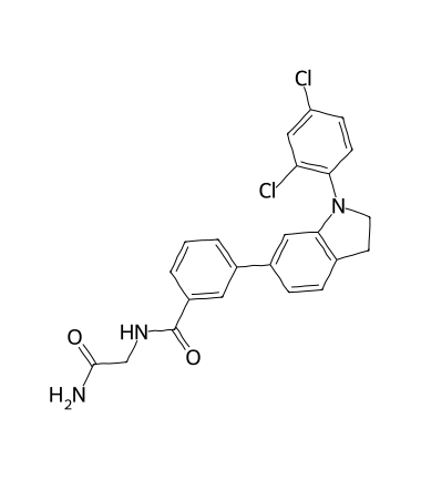 NC(=O)CNC(=O)c1cccc(-c2ccc3c(c2)N(c2ccc(Cl)cc2Cl)CC3)c1